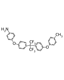 Cc1ccc(Oc2ccc(C(c3ccc(Oc4ccc(N)cc4)cc3)(C(F)(F)F)C(F)(F)F)cc2)cc1